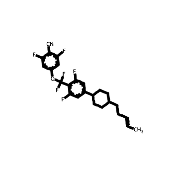 CC=CCCC1CCC(c2cc(F)c(C(F)(F)Oc3cc(F)c(C#N)c(F)c3)c(F)c2)CC1